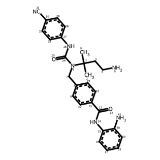 CC(C)(CCN)N(Cc1ccc(C(=O)Nc2ccccc2N)cc1)C(=O)Nc1ccc(C#N)cc1